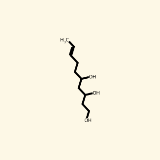 CC=CCCC(O)CC(O)CCO